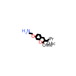 COC(=O)/C(Cc1ccc(OCCN)cc1)=C(\OC(C)=O)C(C)C